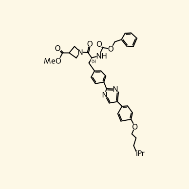 COC(=O)C1CN(C(=O)[C@H](Cc2ccc(-c3ncc(-c4ccc(OCCCC(C)C)cc4)cn3)cc2)NC(=O)OCc2ccccc2)C1